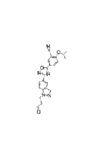 CC(C)Oc1ccc(-c2nc(-c3ccc4c(cnn4CCC=O)c3)no2)cc1C#N